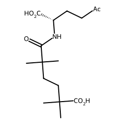 CC(=O)CC[C@H](NC(=O)C(C)(C)CCC(C)(C)C(=O)O)C(=O)O